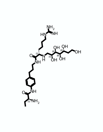 CC[C@H](N)C(=O)Nc1ccc(CCCNC(=O)[C@H](CCCCNC(=N)N)NC[C@H](O)[C@@H](O)[C@H](O)[C@H](O)CCO)cc1